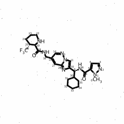 Cn1nccc1C(=O)N[C@H](c1cn2ncc(CNC(=O)C3NCCC[C@H]3C(F)(F)F)cc2n1)C1CCCCC1